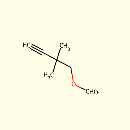 C#CC(C)(C)CO[C]=O